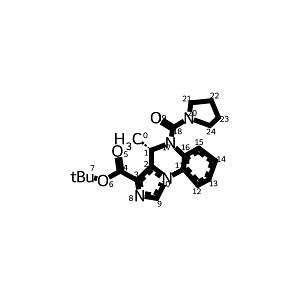 C[C@H]1c2c(C(=O)OC(C)(C)C)ncn2-c2ccccc2N1C(=O)N1CCCC1